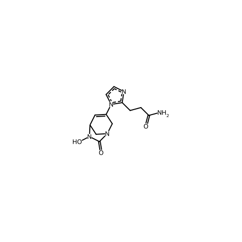 NC(=O)CCc1nccn1C1=CC2CN(C1)C(=O)N2O